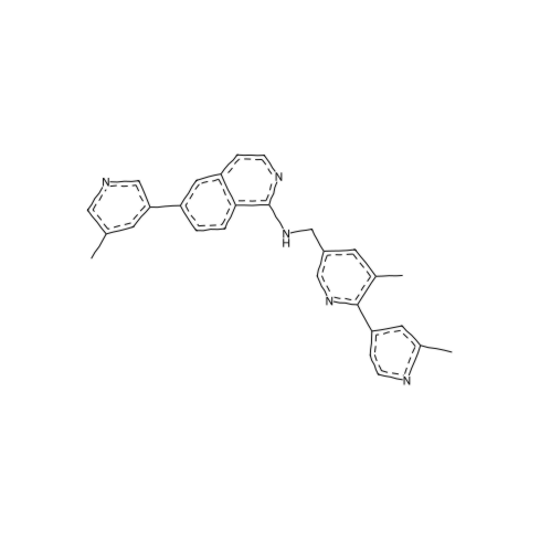 Cc1cncc(-c2ccc3c(NCc4cnc(-c5ccnc(C)c5)c(C)c4)nccc3c2)c1